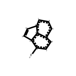 Fc1ccc2cccc3c2c1C=C3